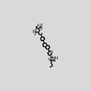 C=C/C(=C\C(=C/C(C)c1ccc(-c2ccc3cc(-c4ccc(C5NC(=C)/C(=C\C=C/C)O5)cn4)ccc3c2)cc1)C(F)(F)F)C(F)(F)F